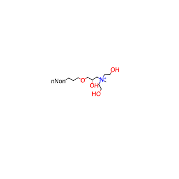 CCCCCCCCCCCCOCC(O)C[N+](C)(CCO)CCO